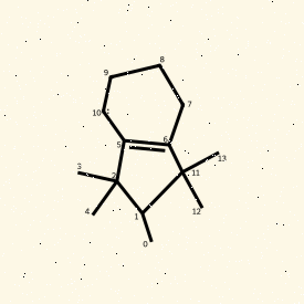 CC1C(C)(C)C2=C(CCC[C]2)C1(C)C